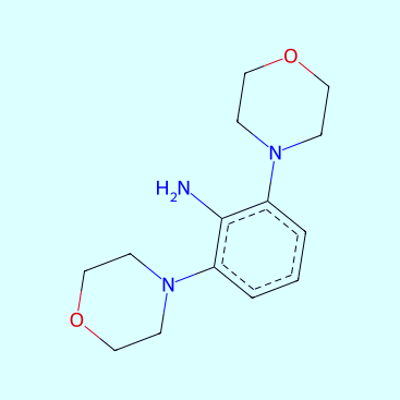 Nc1c(N2CCOCC2)cccc1N1CCOCC1